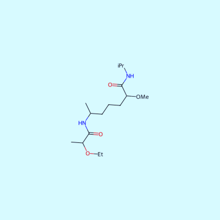 CCOC(C)C(=O)NC(C)CCCC(OC)C(=O)NC(C)C